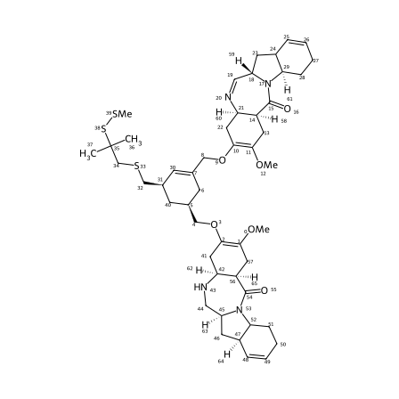 COC1=C(OC[C@@H]2CC(COC3=C(OC)C[C@@H]4C(=O)N5[C@H](C=N[C@@H]4C3)CC3C=CCC[C@H]35)=C[C@H](CSCC(C)(C)SSC)C2)C[C@@H]2NC[C@@H]3C[C@@H]4C=CCCC4N3C(=O)[C@@H]2C1